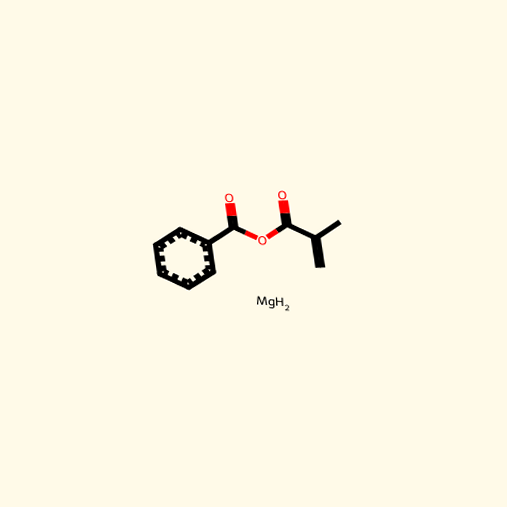 C=C(C)C(=O)OC(=O)c1ccccc1.[MgH2]